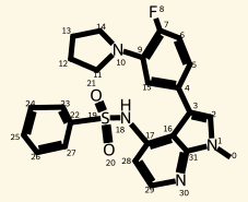 Cn1cc(-c2ccc(F)c(N3CCCC3)c2)c2c(NS(=O)(=O)c3ccccc3)ccnc21